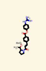 COOC(C)C1CCCN1C(=O)/C=C/c1ccc(C(=O)Oc2ccc(NC(=N)N)cc2)cc1